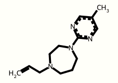 C=CCN1CCCN(c2ncc(C)cn2)CC1